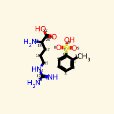 Cc1ccccc1S(=O)(=O)O.N=C(N)NCCCC(N)C(=O)O